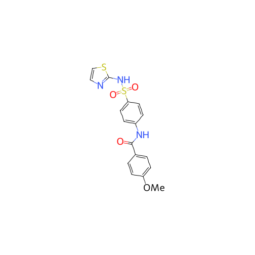 COc1ccc(C(=O)Nc2ccc(S(=O)(=O)Nc3nccs3)cc2)cc1